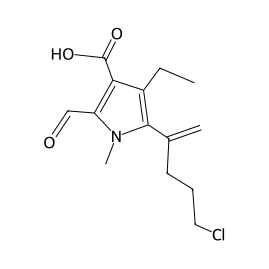 C=C(CCCCl)c1c(CC)c(C(=O)O)c(C=O)n1C